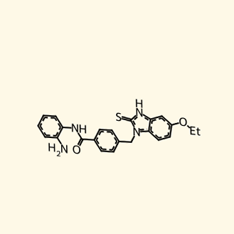 CCOc1ccc2c(c1)[nH]c(=S)n2Cc1ccc(C(=O)Nc2ccccc2N)cc1